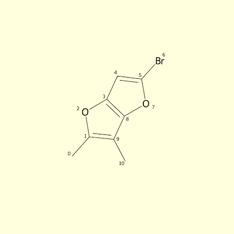 Cc1oc2cc(Br)oc2c1C